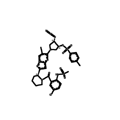 Cc1ccc(S(=O)(=O)O[C@H]2CN(c3nc4cc([C@@H]5CCCCN5C(=O)c5cc(Cl)ccc5NS(C)(=O)=O)nn4cc3C)C[C@@H]2N=[N+]=[N-])cc1